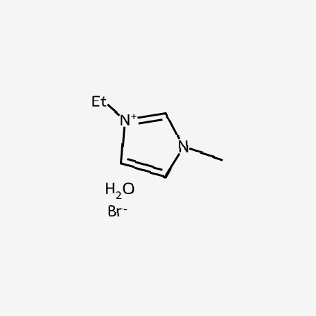 CC[n+]1ccn(C)c1.O.[Br-]